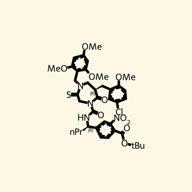 CCC[C@@H](NC(=O)N1CC(=S)N(Cc2c(OC)cc(OC)cc2OC)C[C@@H](Cc2cc(Cl)ccc2OC)C1=O)c1ccc(C(=O)OC(C)(C)C)c([N+](=O)[O-])c1